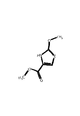 COC(=O)C1=CSC(OC)N1